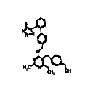 CCc1nc(C)nc(OCc2ccc(-c3ccccc3-c3nnn[nH]3)cc2)c1Cc1ccc(CO)cc1